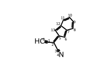 C#CC(C#N)=C1C=c2ccccc2=C1